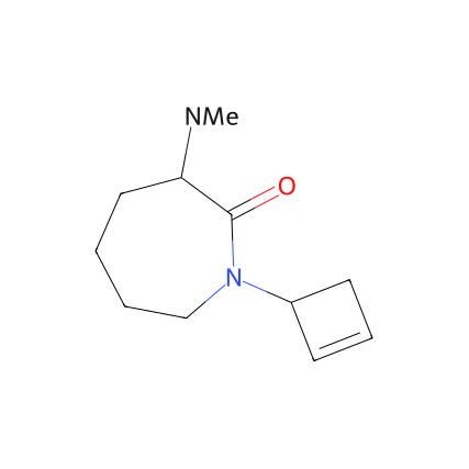 CNC1CCCCN(C2C=CC2)C1=O